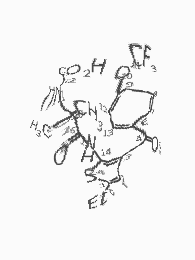 CCc1cc(C(=O)c2ccc(OC(F)(F)F)cc2)c(NC(=O)C(C)(C)NCC(=O)O)s1